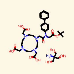 CC(C)(C)OC(=O)CN(C(=O)CN1CCN(CC(=O)O)CCN(CC(=O)O)CCN(CC(=O)O)CC1)c1ccc(-c2ccccc2)cc1.NC(CO)(CO)CO